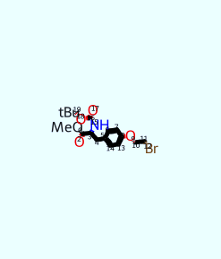 COC(=O)C(Cc1ccc(OCCBr)cc1)NC(=O)OC(C)(C)C